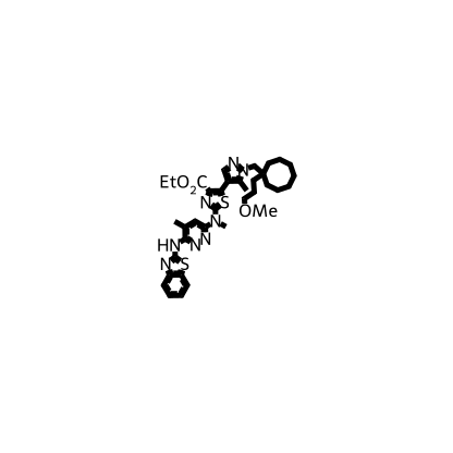 CCOC(=O)c1nc(N(C)c2cc(C)c(Nc3nc4ccccc4s3)nn2)sc1-c1cnn(CC2(CCCOC)CCCCCCC2)c1C